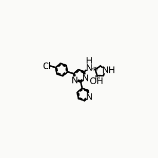 O[C@H]1CNC[C@H]1Nc1cc(-c2ccc(Cl)cc2)nc(-c2cccnc2)n1